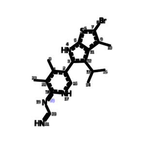 Cc1c(-c2[nH]c3sc(Br)c(C)c3c2C(C)C)c[nH]/c(=N\C=N)c1C